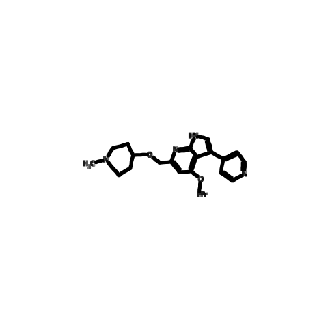 CCCOc1cc(COC2CCN(C)CC2)nc2[nH]cc(-c3ccncc3)c12